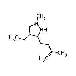 C=C(C)CCC1NN(C)CC1CC